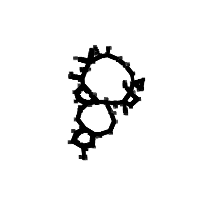 C[C@@H]1[C@@H](C)CCC[C@]2(CO2)[C@@H]2CC[C@H]2CN2CCCCc3cc(Cl)ccc3COc3ccc(cc32)C(=O)NS1(=O)=O